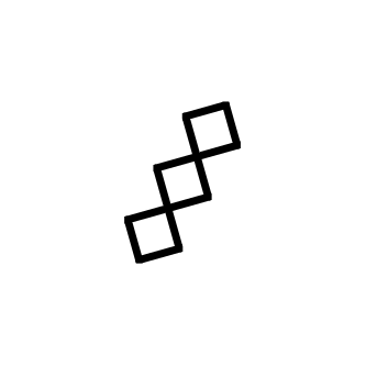 C1CC2(C1)CC1(CCC1)C2